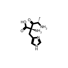 C[C@H](N)C(=O)[C@](N)(Cc1c[nH]cn1)C(=O)O